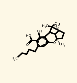 CCCCCc1cc2c(c(O)c1C(=O)O)C1C3[C@H](CC[C@@]3(C)O2)C1(C)C